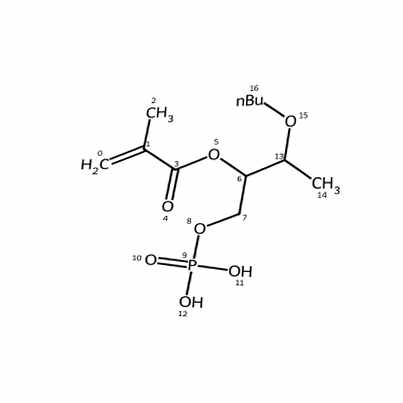 C=C(C)C(=O)OC(COP(=O)(O)O)C(C)OCCCC